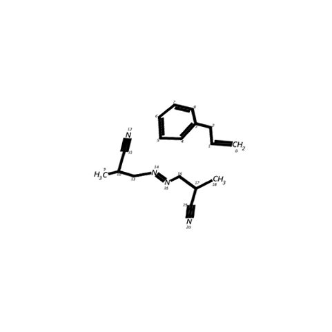 C=CCc1ccccc1.CC(C#N)CN=NCC(C)C#N